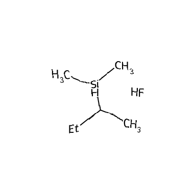 CCC(C)[SiH](C)C.F